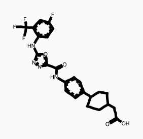 O=C(O)CC1CCC(c2ccc(NC(=O)c3nnc(Nc4ccc(F)cc4C(F)(F)F)o3)cc2)CC1